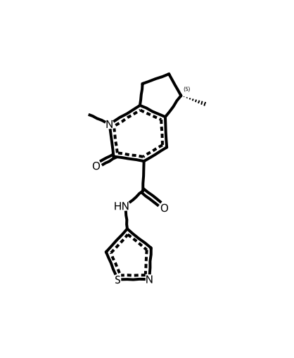 C[C@H]1CCc2c1cc(C(=O)Nc1cnsc1)c(=O)n2C